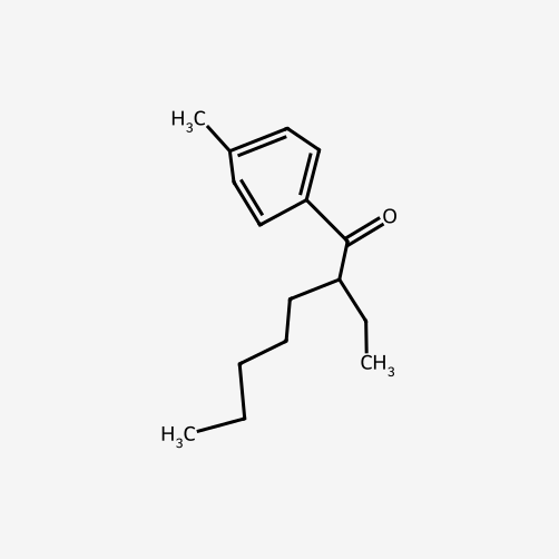 CCCCCC(CC)C(=O)c1ccc(C)cc1